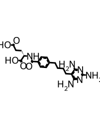 Nc1nc(N)c(CCCCc2ccc(C(=O)N[C@@H](CCC(=O)O)C(=O)O)cc2)c(N)n1